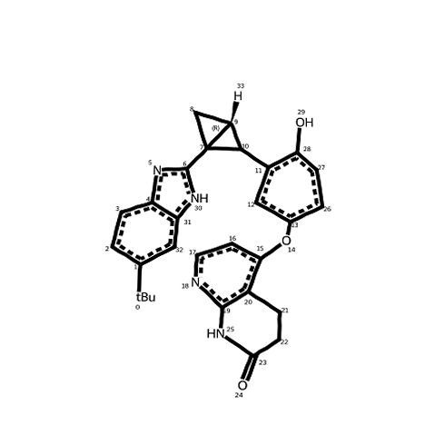 CC(C)(C)c1ccc2nc(C34C[C@@H]3C4c3cc(Oc4ccnc5c4CCC(=O)N5)ccc3O)[nH]c2c1